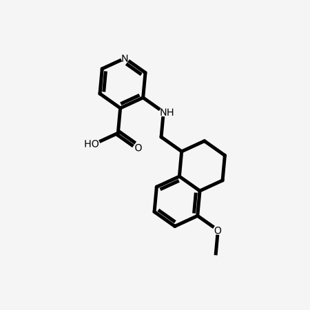 COc1cccc2c1CCCC2CNc1cnccc1C(=O)O